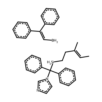 BC=C(c1ccccc1)c1ccccc1.CC=C(C)CC[SiH2]C(c1ccccc1)(c1ccccc1)n1ccnc1